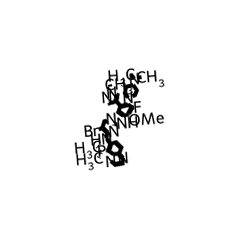 COc1c(Nc2ncc(Br)c(Nc3ccc4nccnc4c3P(C)C)n2)cc(-c2cnn(C)c2)c(N2CCC(N(C)C)CC2)c1F